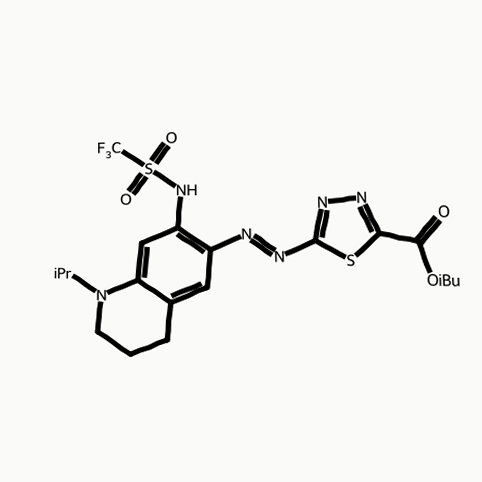 CC(C)COC(=O)c1nnc(N=Nc2cc3c(cc2NS(=O)(=O)C(F)(F)F)N(C(C)C)CCC3)s1